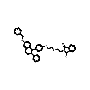 O=C1c2ccccc2C(=O)N1CCOCCOc1ccc(C2c3ccc(OCc4ccccc4)cc3CCC2c2ccccc2)cc1